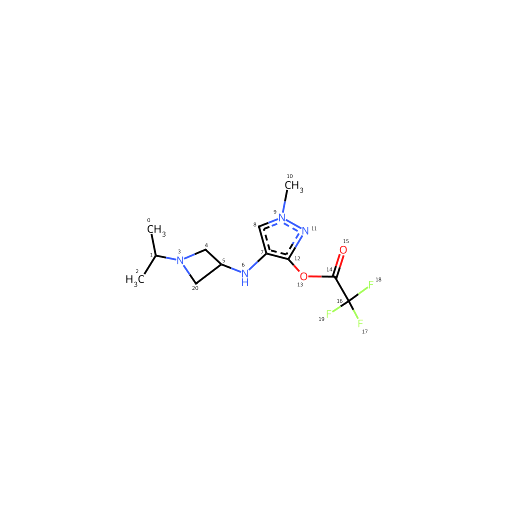 CC(C)N1CC(Nc2cn(C)nc2OC(=O)C(F)(F)F)C1